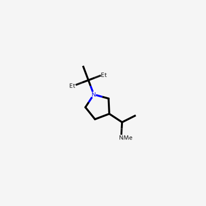 CCC(C)(CC)N1CCC(C(C)NC)C1